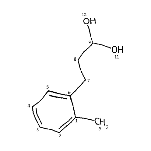 Cc1ccccc1CCC(O)O